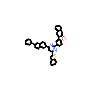 c1ccc(-c2ccc3cc(-c4cc(-c5cc6ccccc6s5)nc(-c5ccc6oc7cc8ccccc8cc7c6c5)n4)ccc3c2)cc1